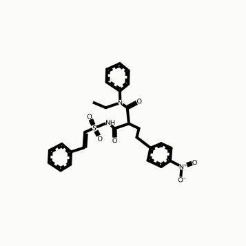 CCN(C(=O)C(CCc1ccc([N+](=O)[O-])cc1)C(=O)NS(=O)(=O)C=Cc1ccccc1)c1ccccc1